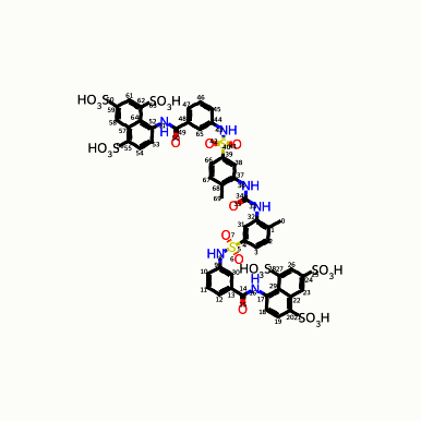 Cc1ccc(S(=O)(=O)Nc2cccc(C(=O)Nc3ccc(S(=O)(=O)O)c4cc(S(=O)(=O)O)cc(S(=O)(=O)O)c34)c2)cc1NC(=O)Nc1cc(S(=O)(=O)Nc2cccc(C(=O)Nc3ccc(S(=O)(=O)O)c4cc(S(=O)(=O)O)cc(S(=O)(=O)O)c34)c2)ccc1C